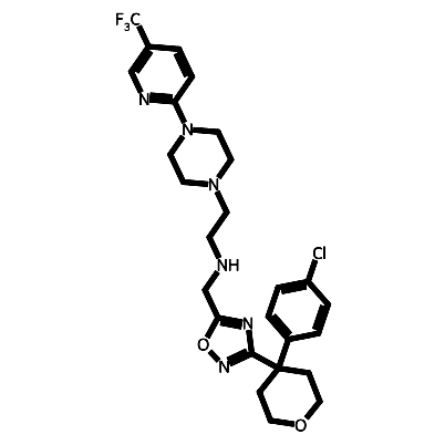 FC(F)(F)c1ccc(N2CCN(CCNCc3nc(C4(c5ccc(Cl)cc5)CCOCC4)no3)CC2)nc1